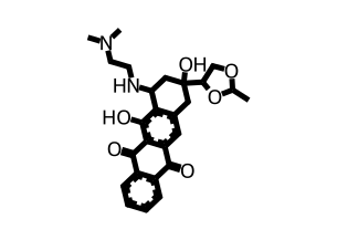 CC1OCC(C2(O)Cc3cc4c(c(O)c3C(NCCN(C)C)C2)C(=O)c2ccccc2C4=O)O1